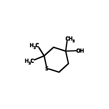 CC1(O)CCSC(C)(C)C1